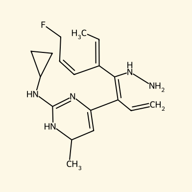 C=C/C(C1=CC(C)NC(NC2CC2)=N1)=C(NN)/C(/C=C\CF)=C/C